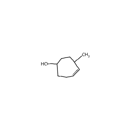 CC1/C=C\CCC(O)CC1